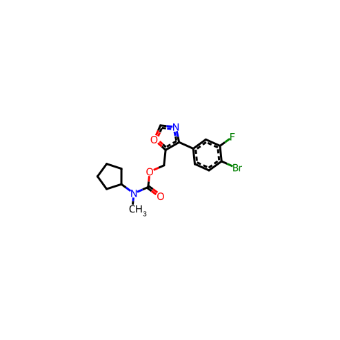 CN(C(=O)OCc1ocnc1-c1ccc(Br)c(F)c1)C1CCCC1